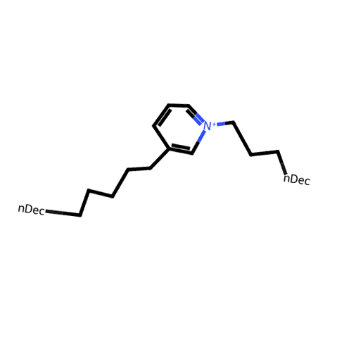 CCCCCCCCCCCCCCCc1ccc[n+](CCCCCCCCCCCCC)c1